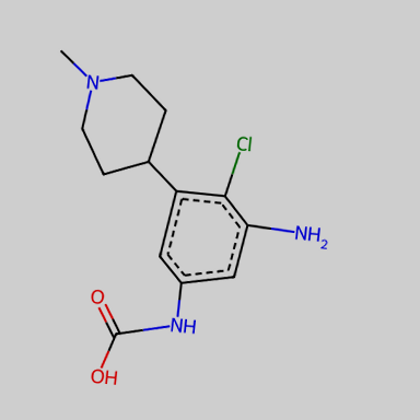 CN1CCC(c2cc(NC(=O)O)cc(N)c2Cl)CC1